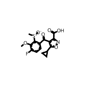 COc1c(F)ccc(C(=O)c2c(C(=O)O)noc2C2CC2)c1[S+](C)[O-]